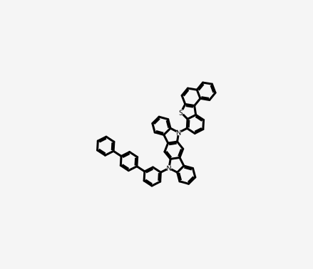 c1ccc(-c2ccc(-c3cccc(-n4c5ccccc5c5cc6c(cc54)c4ccccc4n6-c4cccc5c4sc4ccc6ccccc6c45)c3)cc2)cc1